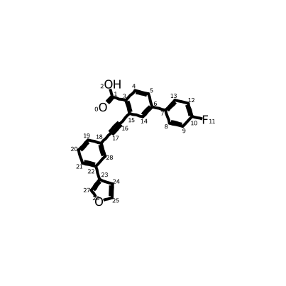 O=C(O)c1ccc(-c2ccc(F)cc2)cc1C#Cc1cccc(-c2ccoc2)c1